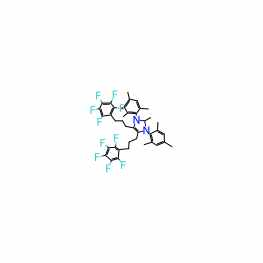 Cc1cc(C)c(N2C(CCCc3c(F)c(F)c(F)c(F)c3F)=C(CCCc3c(F)c(F)c(F)c(F)c3F)N(c3c(C)cc(C)cc3C)C2C)c(C)c1